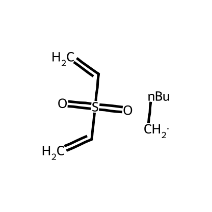 C=CS(=O)(=O)C=C.[CH2]CCCC